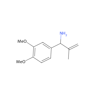 C=C(C)C(N)c1ccc(OC)c(OC)c1